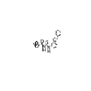 O=C(NC(=S)Nc1cccc(OCc2ccccc2)c1)c1ccno1